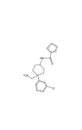 NCC1(c2cccc(Cl)c2)CCC(NC(=O)c2ccco2)CC1